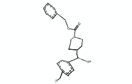 O=C(OCc1ccccc1)N1CCC(C(O)c2ccc(Cl)cc2)CC1